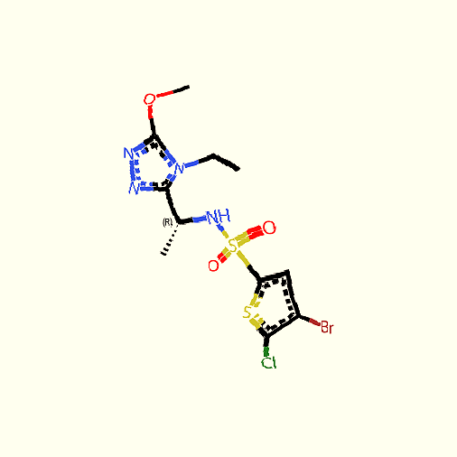 CCn1c(OC)nnc1[C@@H](C)NS(=O)(=O)c1cc(Br)c(Cl)s1